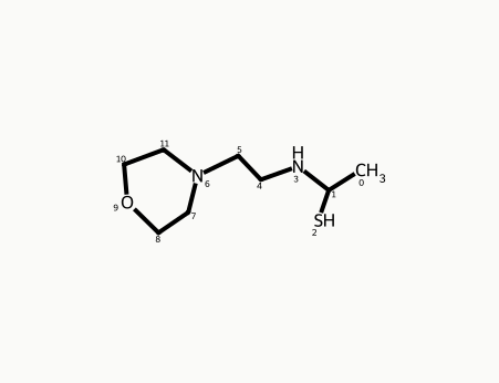 CC(S)NCCN1CCOCC1